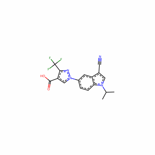 CC(C)n1cc(C#N)c2cc(-n3cc(C(=O)O)c(C(F)(F)F)n3)ccc21